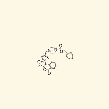 CC(O)c1oc(=O)c2ccccc2c1-c1ccc(CN2CCN(C(=O)OCc3ccccc3)CC2)s1